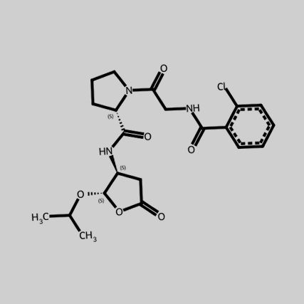 CC(C)O[C@H]1OC(=O)C[C@@H]1NC(=O)[C@@H]1CCCN1C(=O)CNC(=O)c1ccccc1Cl